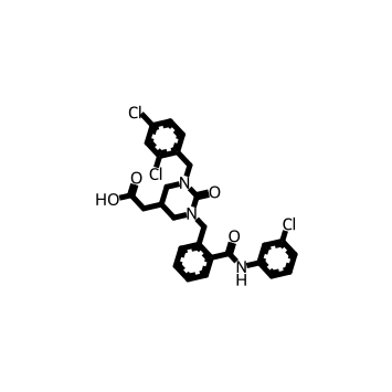 O=C(O)CC1CN(Cc2ccc(Cl)cc2Cl)C(=O)N(Cc2ccccc2C(=O)Nc2cccc(Cl)c2)C1